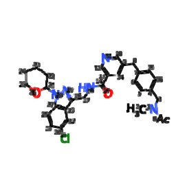 CC(=O)N(C)Cc1ccc(Cc2cncc(C(=O)NCc3nn(C4CCCCO4)c4ccc(Cl)cc34)c2)cc1